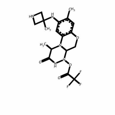 Cc1cc2c(cc1NC1(C)CNC1)N1C(C)C(=O)NN(OC(=O)C(F)(F)F)C1CO2